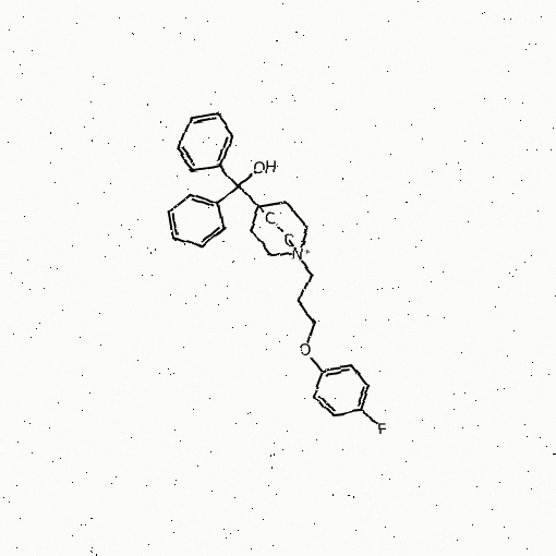 OC(c1ccccc1)(c1ccccc1)C12CC[N+](CCCOc3ccc(F)cc3)(CC1)CC2